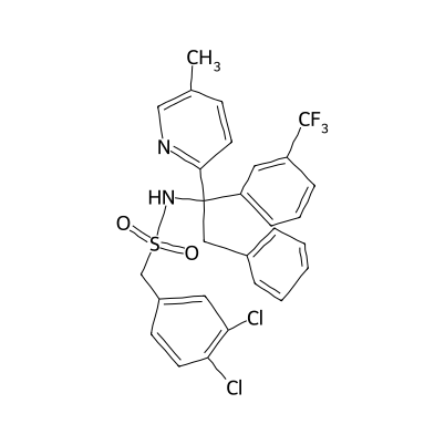 Cc1ccc(C(Cc2ccccc2)(NS(=O)(=O)Cc2ccc(Cl)c(Cl)c2)c2cccc(C(F)(F)F)c2)nc1